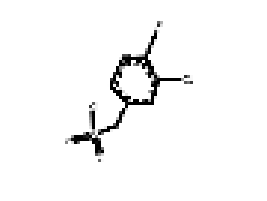 O=S(=O)(Cl)Cc1ccc(F)c(Cl)c1